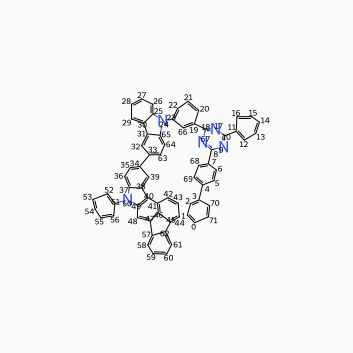 c1ccc(-c2ccc(-c3nc(-c4ccccc4)nc(-c4cccc(-n5c6ccccc6c6cc(-c7ccc8c(c7)c7c9cccc%10c9c(cc7n8-c7ccccc7)-c7ccccc7-%10)ccc65)c4)n3)cc2)cc1